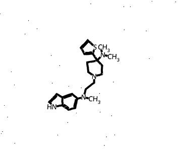 CN(CCN1CCC(c2cccs2)(N(C)C)CC1)c1ccc2[nH]ccc2c1